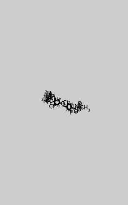 [2H]C([2H])([2H])C([2H])(Oc1ncc(OCc2cc(F)c(C(=O)NS(C)(=O)=O)cc2Cl)cc1Cl)C([2H])([2H])[2H]